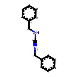 C(#[N+]Cc1ccccc1)NCc1ccccc1